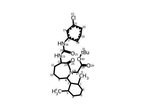 CC1CCCC(C)C1C1CCCC(NC(=O)Nc2cccc(Cl)c2)C(=O)N1CC(=O)OC(C)(C)C